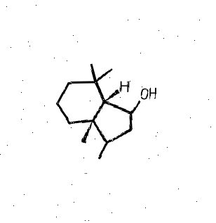 CC1CC(O)[C@H]2C(C)(C)CCC[C@@]12C